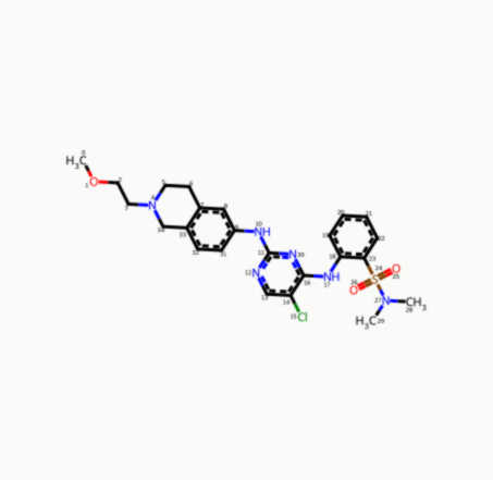 COCCN1CCc2cc(Nc3ncc(Cl)c(Nc4ccccc4S(=O)(=O)N(C)C)n3)ccc2C1